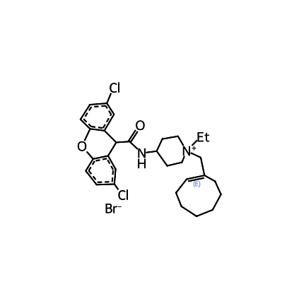 CC[N+]1(C/C2=C/CCCCCC2)CCC(NC(=O)C2c3cc(Cl)ccc3Oc3ccc(Cl)cc32)CC1.[Br-]